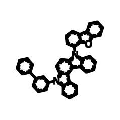 c1ccc(-c2cccc(-n3c4ccccc4c4c5c6ccccc6n(-c6cccc7c6oc6ccccc67)c5ccc43)c2)cc1